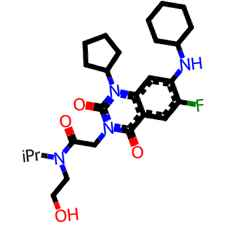 CC(C)N(CCO)C(=O)Cn1c(=O)c2cc(F)c(NC3CCCCC3)cc2n(C2CCCC2)c1=O